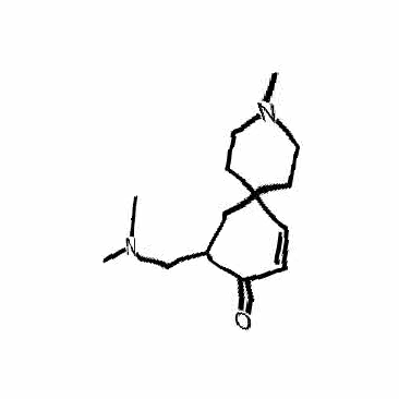 CN(C)CC1CC2(C=CC1=O)CCN(C)CC2